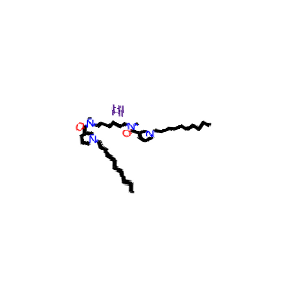 CCCCCCCCCCN1CCCC(C(=O)N(C)CCCCCCN(C)C(=O)C2CCCN(CCCCCCCCCC)C2)C1.I.I